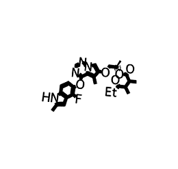 CCC(=O)C(C)C(C)C(=O)O[C@H](C)COc1cn2ncnc(Oc3ccc4[nH]c(C)cc4c3F)c2c1C